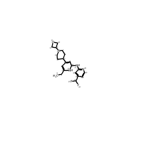 CCC1=CC(C2CCN(C3COC3)CC2)=CC(Nc2cc(C(F)F)ccn2)N1